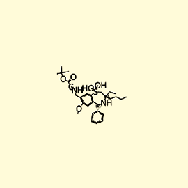 CCCC[C@]1(CC)CS(O)(O)c2cc(CNCC(=O)OC(C)(C)C)c(OC)cc2[C@@H](c2ccccc2)N1